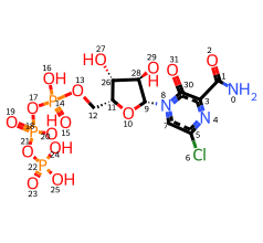 NC(=O)c1nc(Cl)cn([C@@H]2O[C@H](COP(=O)(O)OP(=O)(O)OP(=O)(O)O)[C@H](O)[C@H]2O)c1=O